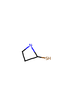 SC1CC[N]1